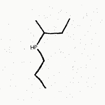 CCCPC(C)CC